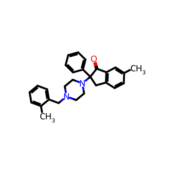 Cc1ccc2c(c1)C(=O)C(c1ccccc1)(N1CCN(Cc3ccccc3C)CC1)C2